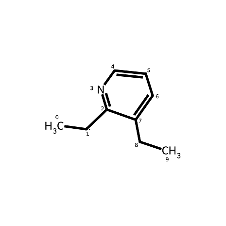 C[CH]c1ncccc1CC